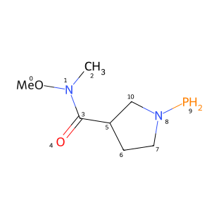 CON(C)C(=O)C1CCN(P)C1